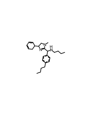 CCCCNC(C1=NC(C2C=CC=CC2)CN1C)c1ccc(CCCC)cc1